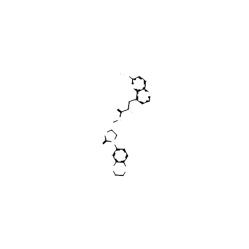 COc1ccc2nccc(C[C@@H](N)C(=O)NC[C@@H]3CN(c4ccc5c(c4)OCCO5)C(=O)O3)c2n1